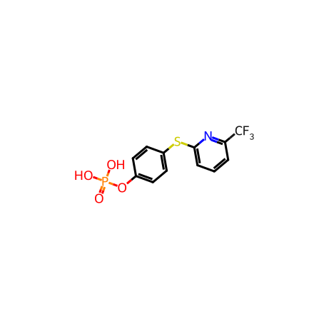 O=P(O)(O)Oc1ccc(Sc2cccc(C(F)(F)F)n2)cc1